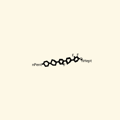 CCCCCCCOc1ccc(-c2ccc(-c3ccc(C4=CCC(C5CCC(CCCCC)CC5)CC4)cc3F)cc2)c(F)c1F